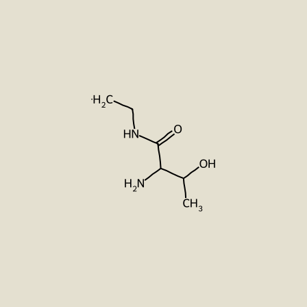 [CH2]CNC(=O)C(N)C(C)O